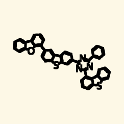 c1ccc(-c2nc(-c3ccc4c(c3)sc3ccc(-c5cccc6c5oc5ccccc56)cc34)nc(-c3cccc4sc5ccccc5c34)n2)cc1